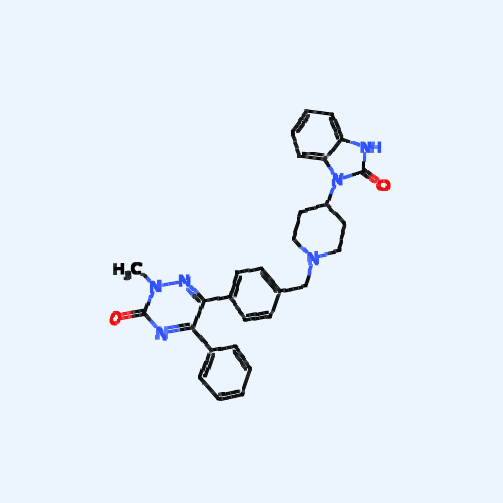 Cn1nc(-c2ccc(CN3CCC(n4c(=O)[nH]c5ccccc54)CC3)cc2)c(-c2ccccc2)nc1=O